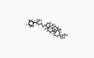 CCCC[C@]1(O)CC[C@@]2(C)[C@@H](CCC3[C@@H]4CCC(CCCC(O)c5ccccn5)C4(C)CC[C@@H]32)C1